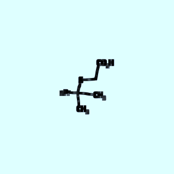 CCCC(C)(C)SCC(=O)O